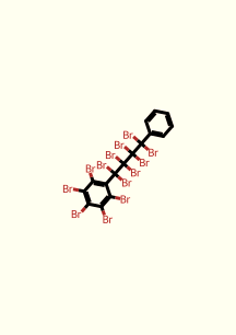 Brc1c(Br)c(Br)c(C(Br)(Br)C(Br)(Br)C(Br)(Br)C(Br)(Br)c2ccccc2)c(Br)c1Br